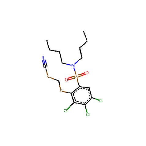 CCCCN(CCCC)S(=O)(=O)c1cc(Cl)c(Cl)c(Cl)c1SCSC#N